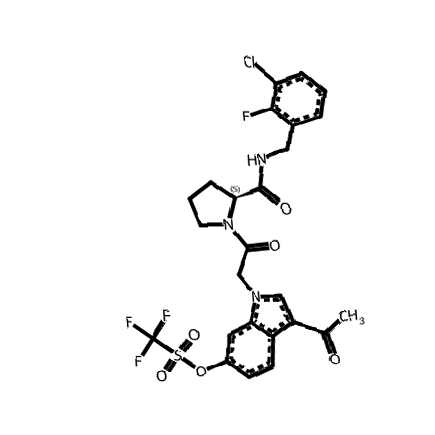 CC(=O)c1cn(CC(=O)N2CCC[C@H]2C(=O)NCc2cccc(Cl)c2F)c2cc(OS(=O)(=O)C(F)(F)F)ccc12